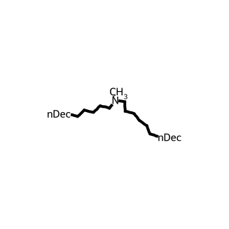 CCCCCCCCCCCCCCCCN(C)CCCCCCCCCCCCCCC